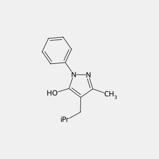 Cc1nn(-c2ccccc2)c(O)c1CC(C)C